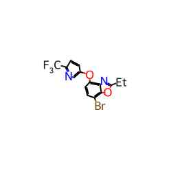 CCc1nc2c(Oc3ccc(C(F)(F)F)nc3)ccc(Br)c2o1